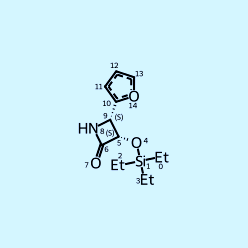 CC[Si](CC)(CC)O[C@@H]1C(=O)N[C@@H]1c1ccco1